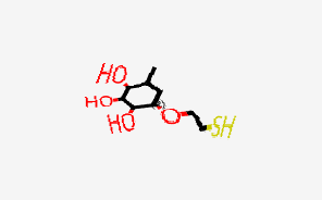 CC1C[C@@H](OCCS)C(O)C(O)C1O